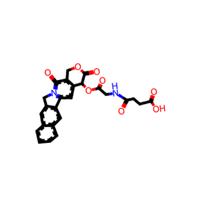 O=C(O)CCC(=O)NCC(=O)OC1C(=O)OCc2c1cc1n(c2=O)Cc2cc3ccccc3cc2-1